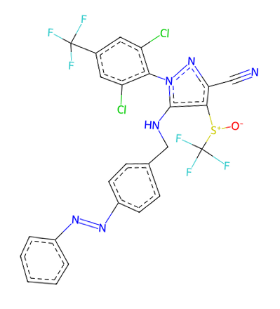 N#Cc1nn(-c2c(Cl)cc(C(F)(F)F)cc2Cl)c(NCc2ccc(N=Nc3ccccc3)cc2)c1[S+]([O-])C(F)(F)F